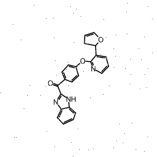 O=C(c1ccc(Oc2ncccc2C2CC=CO2)cc1)c1nc2ccccc2[nH]1